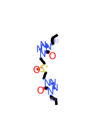 C/C=C/n1nnn(CC[S+]([O-])CCn2nnn(/C=C/C)c2=O)c1=O